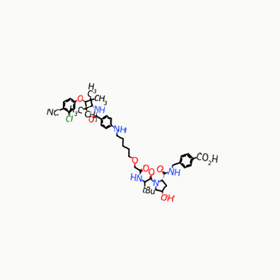 CC(C)(C)C(NC(=O)COCCCCCNc1ccc(C(=O)N[C@H]2C(C)(C)[C@H](Oc3ccc(C#N)c(Cl)c3)C2(C)C)cc1)C(=O)N1C[C@H](O)C[C@H]1C(=O)NCc1ccc(C(=O)O)cc1